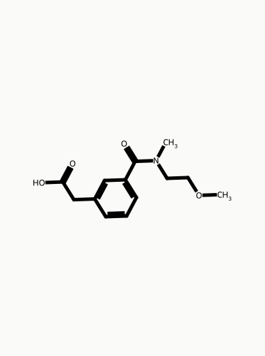 COCCN(C)C(=O)c1cccc(CC(=O)O)c1